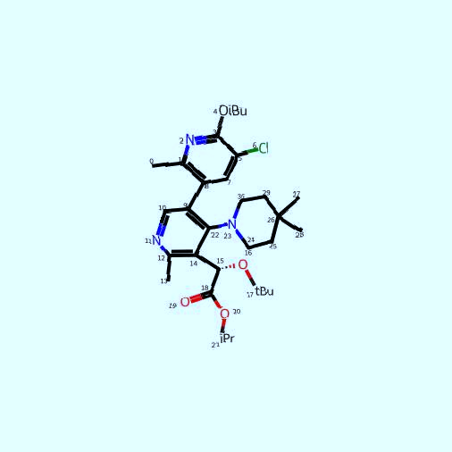 Cc1nc(OCC(C)C)c(Cl)cc1-c1cnc(C)c([C@H](OC(C)(C)C)C(=O)OC(C)C)c1N1CCC(C)(C)CC1